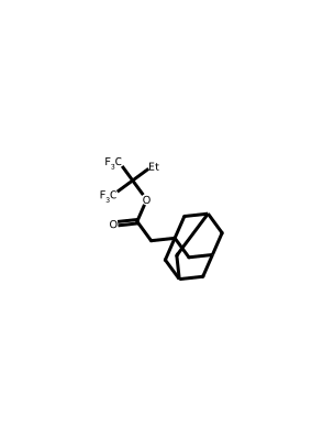 CCC(OC(=O)CC12CC3CC(CC(C3)C1)C2)(C(F)(F)F)C(F)(F)F